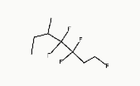 CCC(C)C(F)(F)C(F)(F)CCF